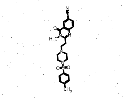 Cc1ccc(S(=O)(=O)N2CCN(CCc3nc4ccc(C#N)cc4c(=O)n3C)CC2)cc1